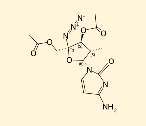 CC(=O)OC[C@@]1(N=[N+]=[N-])O[C@@H](n2ccc(N)nc2=O)[C@@H](C)[C@@H]1OC(C)=O